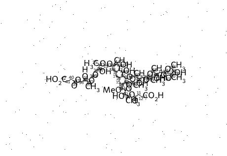 CO[C@H](C(=O)[C@@H](O)[C@@H](C)OC(=O)CCC(=O)O)[C@@H]1Cc2cc3cc(OCOC(C)[C@@H](O)COCOC(C)[C@@H](O)COC(=O)CCC(=O)O)c(C)c(O)c3c(O)c2C(=O)[C@H]1OC(C)OC(C)[C@@H](O)COC(C)OC(C)[C@H](O)COC1OC(C)[C@@H](O)C1(C)O